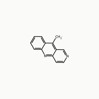 [CH2]c1c2ccccc2nc2ccncc12